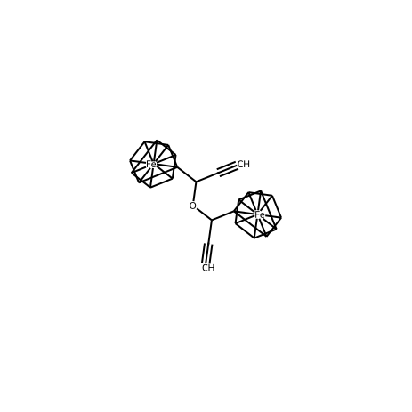 C#CC(OC(C#C)[C]12[CH]3[CH]4[CH]5[CH]1[Fe]45321678[CH]2[CH]1[CH]6[CH]7[CH]28)[C]12[CH]3[CH]4[CH]5[CH]1[Fe]45321678[CH]2[CH]1[CH]6[CH]7[CH]28